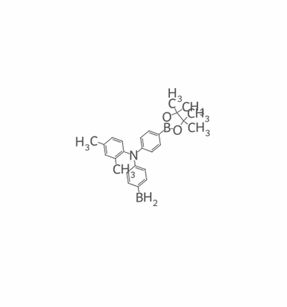 Bc1ccc(N(c2ccc(B3OC(C)(C)C(C)(C)O3)cc2)c2ccc(C)cc2C)cc1